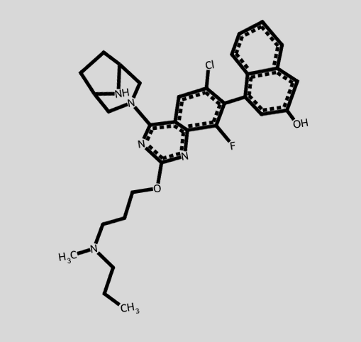 CCCN(C)CCCOc1nc(N2CC3CCC(C2)N3)c2cc(Cl)c(-c3cc(O)cc4ccccc34)c(F)c2n1